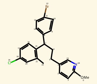 COc1ccc(CCC(c2ccc(Br)cc2)c2ccc(Cl)cc2C)cn1